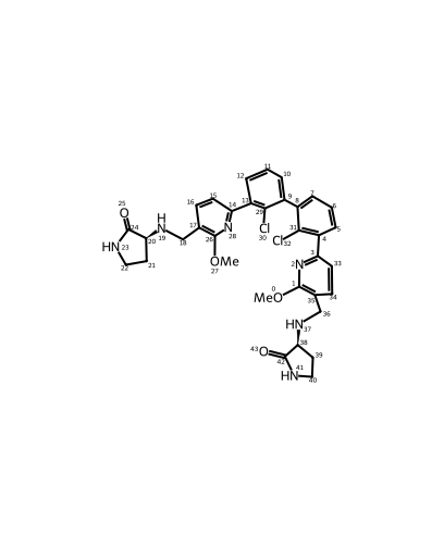 COc1nc(-c2cccc(-c3cccc(-c4ccc(CN[C@H]5CCNC5=O)c(OC)n4)c3Cl)c2Cl)ccc1CN[C@H]1CCNC1=O